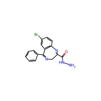 NNC(=O)C1=Nc2ccc(Br)cc2C(c2ccccc2)=NC1